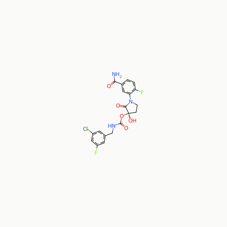 NC(=O)c1ccc(F)c(N2CC[C@](O)(OC(=O)NCc3cc(F)cc(Cl)c3)C2=O)c1